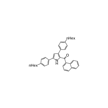 CCCCCCc1ccc(-c2cc(-c3ccc(CCCCCC)cc3)c(C(=O)c3cccc4ccccc34)[nH]2)cc1